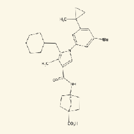 Cc1c(C(=O)NC23CCC(C(=O)O)(CC2)CC3)cn(-c2cc(C(C)(C)C)cc(C3(C)CC3)c2)c1CC1CCCCC1